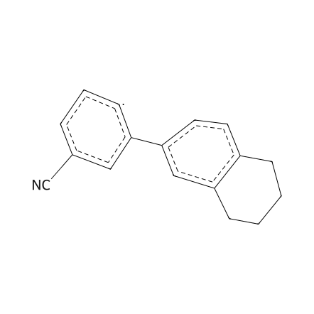 N#Cc1cc[c]c(-c2ccc3c(c2)CCCC3)c1